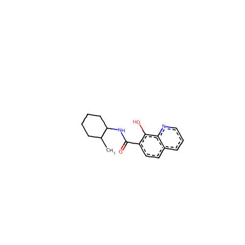 CC1CCCCC1NC(=O)c1ccc2cccnc2c1O